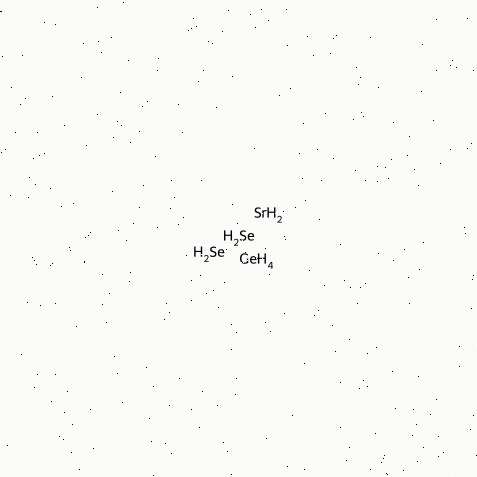 [GeH4].[SeH2].[SeH2].[SrH2]